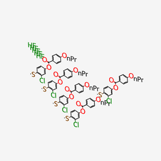 CCCOc1ccc(C(=O)Oc2ccc([S])c(Cl)c2)cc1.CCCOc1ccc(C(=O)Oc2ccc([S])c(Cl)c2)cc1.CCCOc1ccc(C(=O)Oc2ccc([S])c(Cl)c2)cc1.CCCOc1ccc(C(=O)Oc2ccc([S])c(Cl)c2)cc1.CCCOc1ccc(C(=O)Oc2ccc([S])c(Cl)c2)cc1.F.F.F.F.F